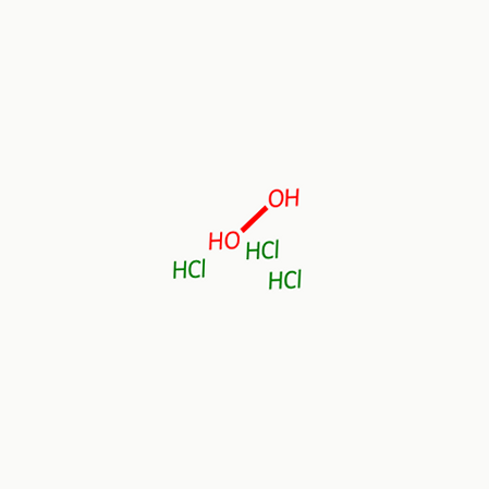 Cl.Cl.Cl.OO